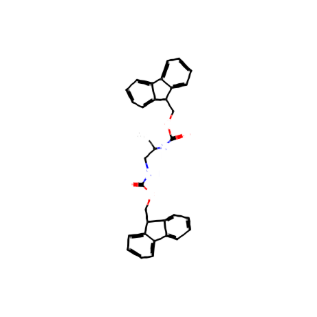 CC(=O)C(CNC(=O)OCC1c2ccccc2-c2ccccc21)NC(=O)OCC1c2ccccc2-c2ccccc21